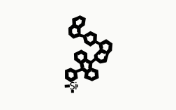 C[Si](C)(C)c1cccc(-c2c3ccccc3c(-c3ccc4cccc(-c5ccc(-c6cccc7ccccc67)cc5)c4c3)c3ccccc23)c1